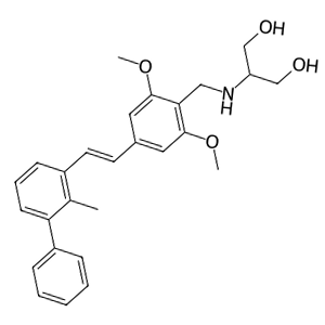 COc1cc(/C=C/c2cccc(-c3ccccc3)c2C)cc(OC)c1CNC(CO)CO